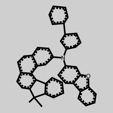 CC1(C)c2ccccc2-c2c1ccc1ccc3ccc(N(c4cccc(-c5ccccc5)c4)c4ccc5c(c4)oc4ccccc45)cc3c21